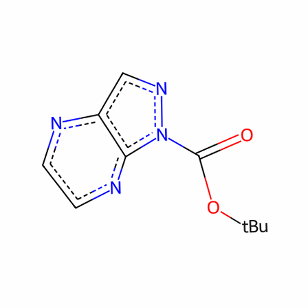 CC(C)(C)OC(=O)n1ncc2nccnc21